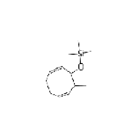 CC1/C=C\CC/C=C\C1O[Si](C)(C)C